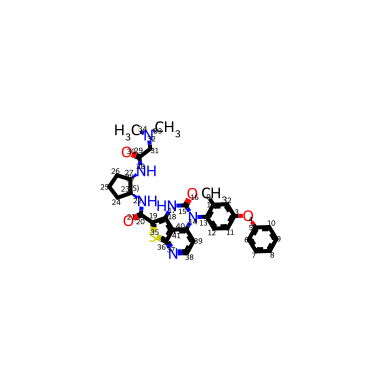 Cc1cc(Oc2ccccc2)ccc1N1C(=O)Nc2c(C(=O)N[C@H]3CCC[C@H]3NC(=O)CN(C)C)sc3nccc1c23